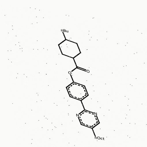 CCCCCCCCc1cnc(-c2ccc(OC(=O)C3CCC(CCCC)CC3)cc2)nc1